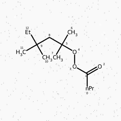 CCCC(=O)OOC(C)(C)CC(C)(C)CC